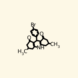 CC1CC(=O)C2=C(C1)NC1=C(C(=O)CC(C)C1)C2c1ccc(Br)cc1